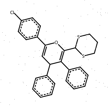 Clc1ccc(C2=CC(c3ccccc3)C(c3ccccc3)=C(C3SCCCS3)O2)cc1